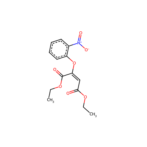 CCOC(=O)/C=C(/Oc1ccccc1[N+](=O)[O-])C(=O)OCC